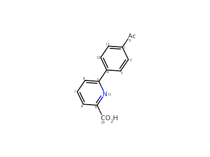 CC(=O)c1ccc(-c2cccc(C(=O)O)n2)cc1